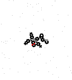 Cc1cc2c3c(c1)N(c1ccc(C(C)(C)C)cc1-c1ccccc1)c1cc(N4c5ccc(-c6ccccn6)cc5C5(C)CCCCC45C)ccc1B3c1cc3c(cc1N2c1ccc2c(c1)CC(C)(C)C2)CC(C)(C)C3